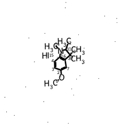 COc1ccc2c(c1)C(C)(C)C(C)N2C.I